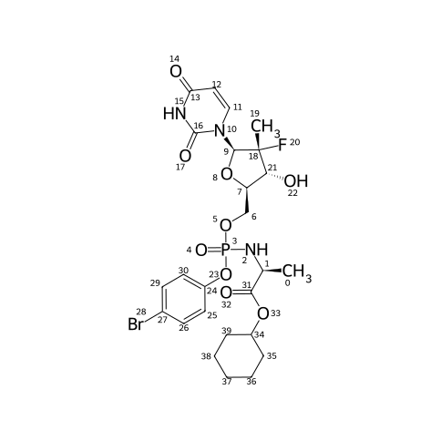 C[C@H](NP(=O)(OC[C@H]1O[C@@H](n2ccc(=O)[nH]c2=O)[C@](C)(F)[C@@H]1O)Oc1ccc(Br)cc1)C(=O)OC1CCCCC1